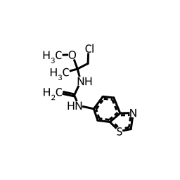 C=C(Nc1ccc2ncsc2c1)NC(C)(CCl)OC